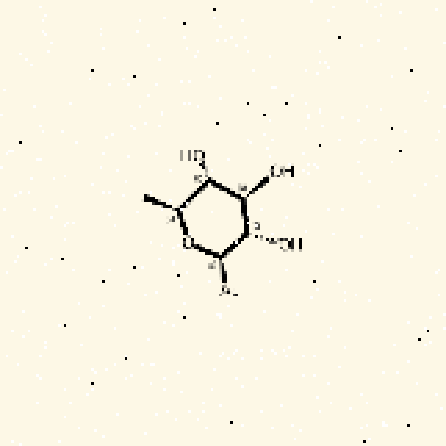 CC(=O)[C@H]1O[C@@H](C)[C@H](O)[C@@H](O)[C@@H]1O